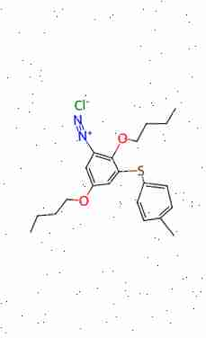 CCCCOc1cc([N+]#N)c(OCCCC)c(Sc2ccc(C)cc2)c1.[Cl-]